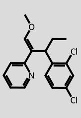 CCC(C(=COC)c1ccccn1)c1ccc(Cl)cc1Cl